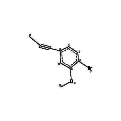 CC#Cc1ccc(Br)c(OC)c1